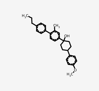 CCCc1ccc(-c2ccc(C3(O)CCC(c4ccc(OC)cc4)CC3)cc2C)cc1